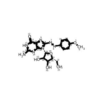 COc1ccc(N=Nc2nc3c(=O)[nH]c(N)nc3n2[C@@H]2O[C@H](CO)C(O)C2O)cc1